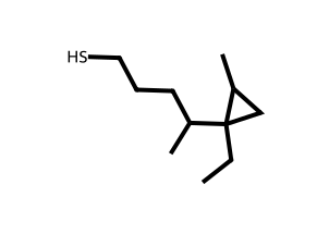 CCC1(C(C)CCCS)CC1C